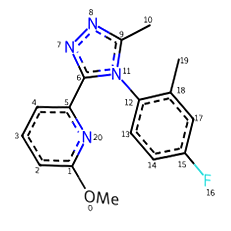 COc1cccc(-c2nnc(C)n2-c2ccc(F)cc2C)n1